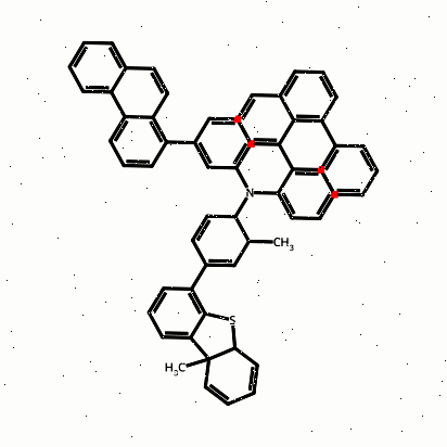 CC1C=C(c2cccc3c2SC2C=CC=CC32C)C=CC1N(c1cccc(-c2cccc3c2ccc2ccccc23)c1)c1ccccc1-c1cccc2cccc(-c3ccccc3)c12